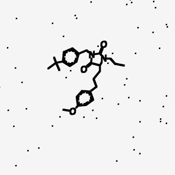 CCCN1C(=O)N(Cc2ccc(C(C)(C)C)cc2)C(=O)C1CCCc1ccc(OC)cc1